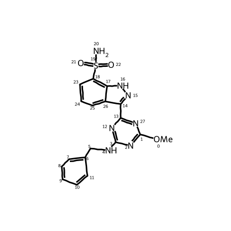 COc1nc(NCc2ccccc2)nc(-c2n[nH]c3c(S(N)(=O)=O)cccc23)n1